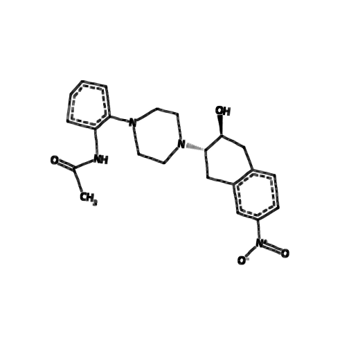 CC(=O)Nc1ccccc1N1CCN([C@H]2Cc3cc([N+](=O)[O-])ccc3C[C@@H]2O)CC1